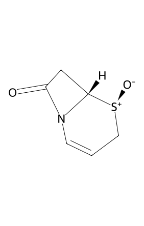 O=C1C[C@H]2N1C=CC[S@+]2[O-]